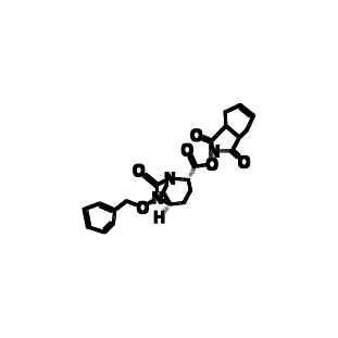 O=C(ON1C(=O)C2CC=CCC2C1=O)[C@@H]1CC[C@@H]2CN1C(=O)N2OCc1ccccc1